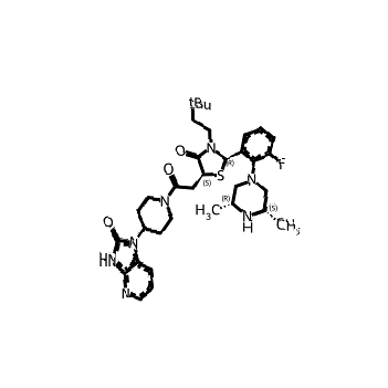 C[C@@H]1CN(c2c(F)cccc2[C@H]2S[C@@H](CC(=O)N3CCC(n4c(=O)[nH]c5ncccc54)CC3)C(=O)N2CCC(C)(C)C)C[C@H](C)N1